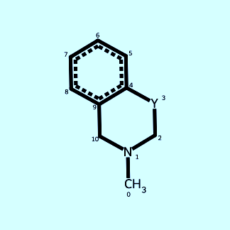 CN1[CH2][Y][c]2ccccc2C1